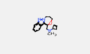 CN(CC1OCCCn2nc3ccccc3c21)C1CCC1